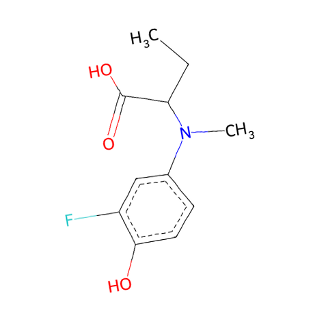 CCC(C(=O)O)N(C)c1ccc(O)c(F)c1